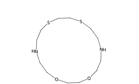 C1COCCOCCNCCSCCSCCN1